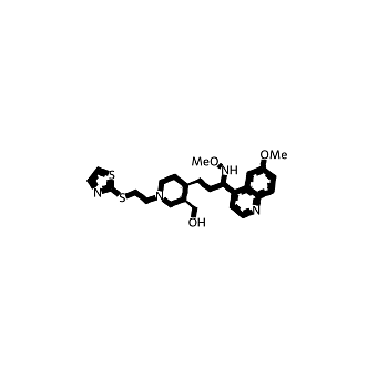 CONC(CC[C@@H]1CCN(CCSc2nccs2)C[C@@H]1CO)c1ccnc2ccc(OC)cc12